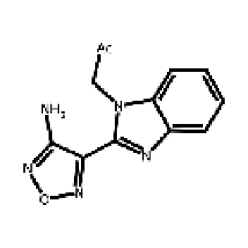 CC(=O)Cn1c(-c2nonc2N)nc2ccccc21